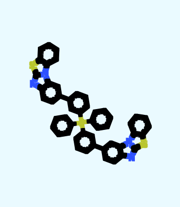 c1ccc(S(c2ccccc2)(c2cccc(-c3ccc4nc5sc6ccccc6n5c4c3)c2)c2cccc(-c3ccc4nc5sc6ccccc6n5c4c3)c2)cc1